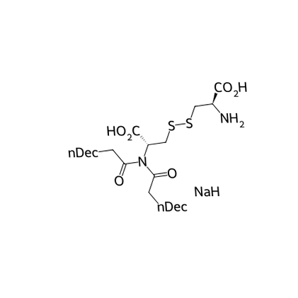 CCCCCCCCCCCC(=O)N(C(=O)CCCCCCCCCCC)[C@@H](CSSC[C@H](N)C(=O)O)C(=O)O.[NaH]